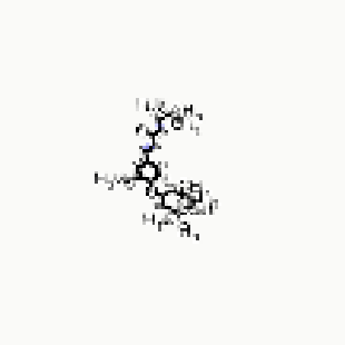 COc1cc(/C=C/C(=O)/C=C/C(C)(C)C)ccc1OC1CC(C)(C)N(O)C(C)(C)C1